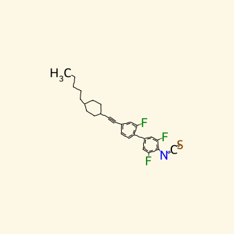 CCCCCC1CCC(C#Cc2ccc(-c3cc(F)c(N=C=S)c(F)c3)c(F)c2)CC1